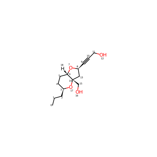 CCC[C@H]1CC[C@@H]2O[C@@H](C#CCO)C[C@]2(CO)O1